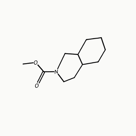 COC(=O)N1CCC2CCCCC2C1